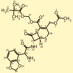 CC(=O)OCC1=C(C(=O)OCOC(=O)C(C)(C)C)N2C(=O)[C@@H](NC(=O)C(N)c3cccc4c3OCO4)[C@H]2SC1